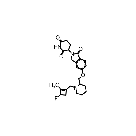 CC1=C(CN2CCCCC2COc2ccc3c(c2)CN(C2CCC(=O)NC2=O)C3=O)CC1F